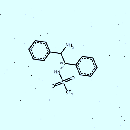 NC(c1ccccc1)[C@@H](NS(=O)(=O)C(F)(F)F)c1ccccc1